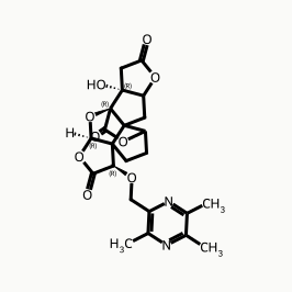 Cc1nc(C)c(CO[C@H]2C(=O)O[C@H]3O[C@]45C(=O)OC6CCC32C64CC2OC(=O)C[C@@]25O)nc1C